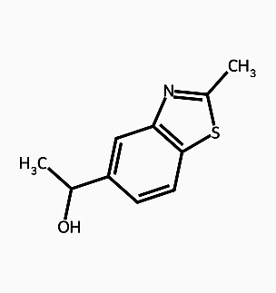 Cc1nc2cc(C(C)O)ccc2s1